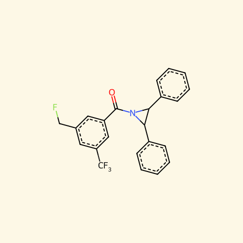 O=C(c1cc(CF)cc(C(F)(F)F)c1)N1C(c2ccccc2)C1c1ccccc1